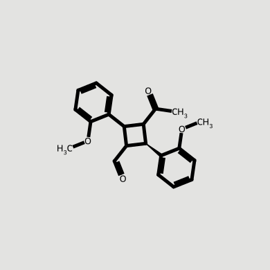 COc1ccccc1C1C(C=O)[C@H](c2ccccc2OC)C1C(C)=O